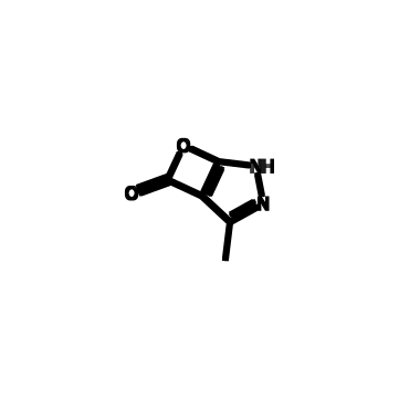 Cc1n[nH]c2c1C(=O)O2